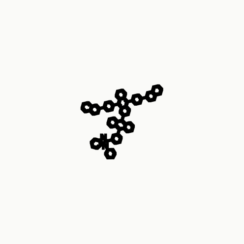 c1ccc(-n2c(-c3cccc(-c4c5ccccc5c(-c5ccc6c(-c7ccc(-c8ccc9ccccc9c8)cc7)c7ccccc7c(-c7ccc(-c8ccc9ccccc9c8)cc7)c6c5)c5ccccc45)c3)nc3ccccc32)cc1